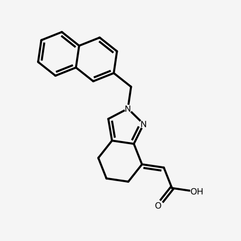 O=C(O)C=C1CCCc2cn(Cc3ccc4ccccc4c3)nc21